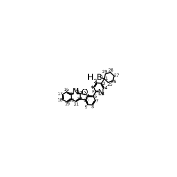 BC1(c2ccc(-c3cccc4c3oc3nc5ccccc5cc34)nc2)CCCCC1